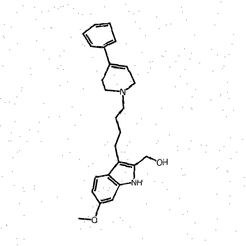 COc1ccc2c(CCCCN3CC=C(c4ccccc4)CC3)c(CO)[nH]c2c1